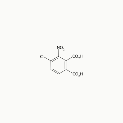 O=C(O)c1ccc(Cl)c([N+](=O)[O-])c1C(=O)O